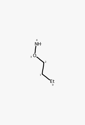 CCCCO[NH]